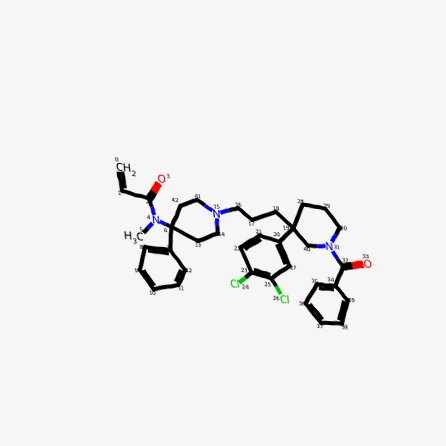 C=CC(=O)N(C)C1(c2ccccc2)CCN(CCCC2(c3ccc(Cl)c(Cl)c3)CCCN(C(=O)c3ccccc3)C2)CC1